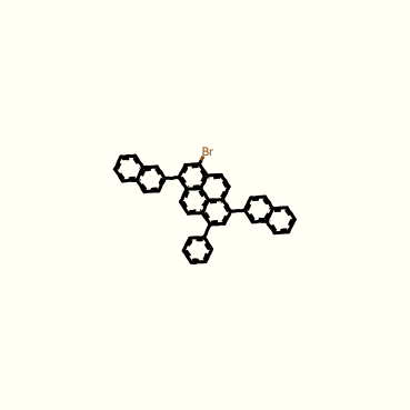 Brc1cc(-c2ccc3ccccc3c2)c2ccc3c(-c4ccccc4)cc(-c4ccc5ccccc5c4)c4ccc1c2c34